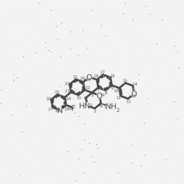 N[C@H]1CNCC2(O1)c1cc(C3=CCOCC3)ccc1Oc1ccc(-c3cccnc3F)cc12